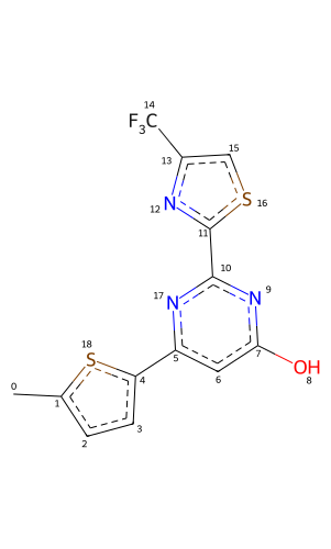 Cc1ccc(-c2cc(O)nc(-c3nc(C(F)(F)F)cs3)n2)s1